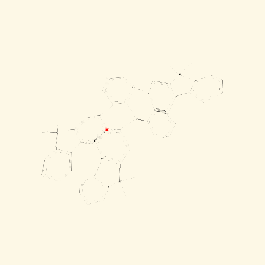 CC1(C)c2ccccc2-c2ccc(-c3cncc(-c4ccc5c(c4)C(C)(C)c4ccccc4-5)c3N(c3ccccc3)c3ccc4c(c3)C(C)(C)c3ccccc3-4)cc21